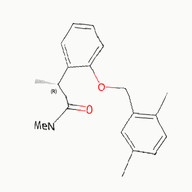 CNC(=O)[C@H](C)c1ccccc1OCc1cc(C)ccc1C